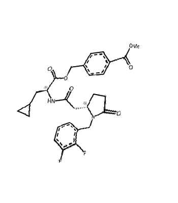 COC(=O)c1ccc(COC(=O)[C@H](CC2CC2)NC(=O)C[C@@H]2CCC(=O)N2Cc2cccc(F)c2F)cc1